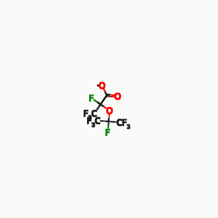 [O]C(=O)C(F)(OC(F)(C(F)(F)F)C(F)(F)F)C(F)(F)F